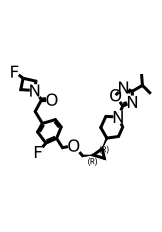 CC(C)c1noc(N2CCC([C@H]3C[C@H]3COCc3ccc(CC(=O)N4CC(F)C4)cc3F)CC2)n1